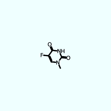 Cn1cc(F)c(=O)[nH]c1=O